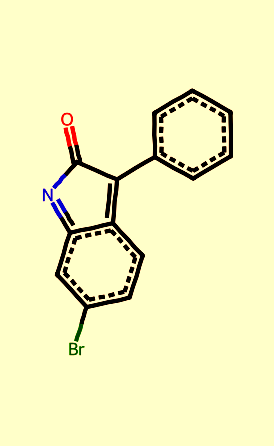 O=C1N=c2cc(Br)ccc2=C1c1ccccc1